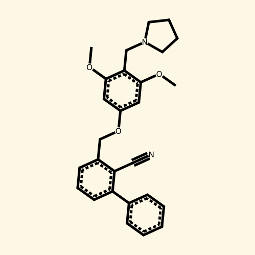 COc1cc(OCc2cccc(-c3ccccc3)c2C#N)cc(OC)c1CN1CCCC1